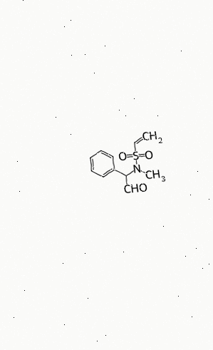 C=CS(=O)(=O)N(C)C(C=O)c1ccccc1